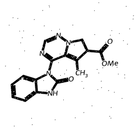 COC(=O)C1CN2N=CN=C(n3c(=O)[nH]c4ccccc43)C2=C1C